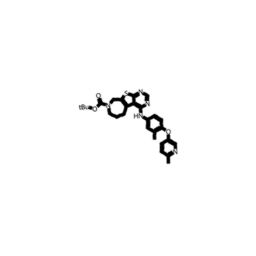 Cc1ccc(Oc2ccc(Nc3ncnc4sc5c(c34)CCCN(C(=O)OC(C)(C)C)C5)cc2C)cn1